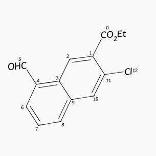 CCOC(=O)c1cc2c(C=O)cccc2cc1Cl